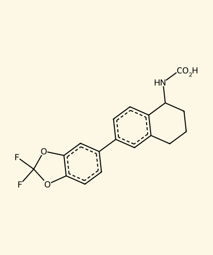 O=C(O)NC1CCCc2cc(-c3ccc4c(c3)OC(F)(F)O4)ccc21